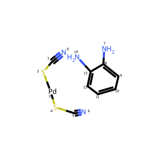 N#C[S][Pd][S]C#N.Nc1ccccc1N